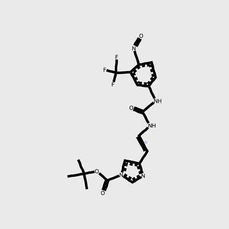 CC(C)(C)OC(=O)n1cnc(/C=C/NC(=O)Nc2ccc(N=O)c(C(F)(F)F)c2)c1